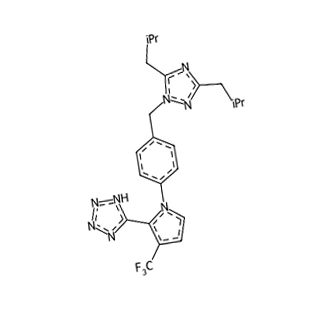 CC(C)Cc1nc(CC(C)C)n(Cc2ccc(-n3ccc(C(F)(F)F)c3-c3nnn[nH]3)cc2)n1